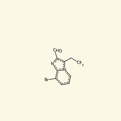 O=Cc1nc2c(Br)cccn2c1CC(F)(F)F